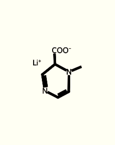 CN1C=CN=CC1C(=O)[O-].[Li+]